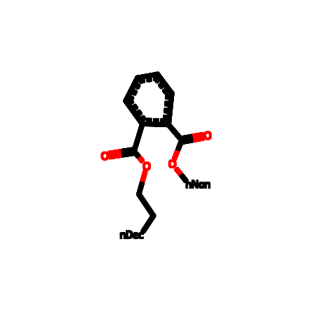 CCCCCCCCCCCCOC(=O)c1ccccc1C(=O)OCCCCCCCCC